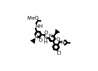 CO[C@@H](C)CNCc1cc(C(=O)Nc2cc(-c3ccc(Cl)cc3C(=O)N3CC(C)C3)cc(C3CC3)n2)c(=O)n(C2CC2)c1